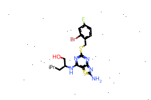 CC(C)CC(CO)Nc1nc(SCc2ccc(F)cc2Br)nc2nc(N)sc12